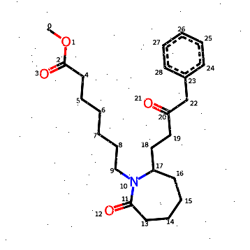 COC(=O)CCCCCCN1C(=O)CCCCC1CCC(=O)Cc1ccccc1